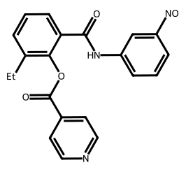 CCc1cccc(C(=O)Nc2cccc(N=O)c2)c1OC(=O)c1ccncc1